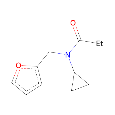 CCC(=O)N(Cc1ccco1)C1CC1